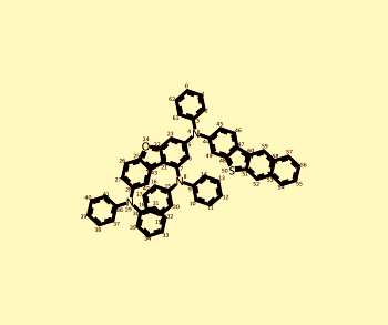 c1ccc(N(c2cc(N(c3ccccc3)c3ccccc3)c3c(c2)oc2ccc(N(c4ccccc4)c4ccccc4)cc23)c2ccc3c(c2)sc2cc4ccccc4cc23)cc1